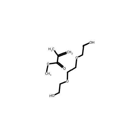 C=C(C)C(=O)OC.OCCOCCOCCO